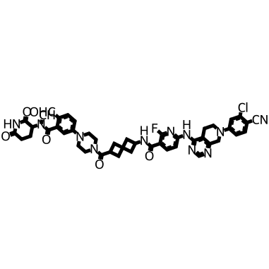 CN(C(=O)c1cc(N2CCN(C(=O)C3CC4(CC(NC(=O)c5ccc(Nc6ncnc7c6CCN(c6ccc(C#N)c(Cl)c6)C7)nc5F)C4)C3)CC2)ccc1C=O)C1CCC(=O)NC1=O